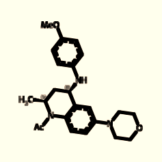 COc1ccc(N[C@@H]2C[C@H](C)N(C(C)=O)c3ccc(N4CCOCC4)cc32)cc1